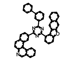 c1ccc(-c2cccc(-c3nc(-c4ccc5ccc6ncc7ccccc7c6c5c4)nc(-c4cccc5oc6cc7ccccc7cc6c45)n3)c2)cc1